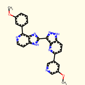 COc1cncc(-c2ccc3[nH]nc(-c4nc5c(-c6cccc(OC)c6)nccc5[nH]4)c3n2)c1